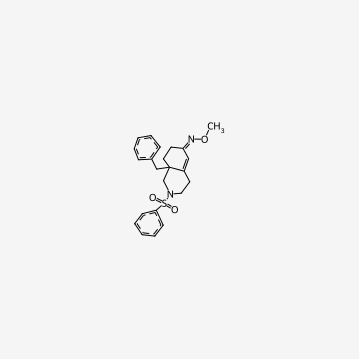 CON=C1C=C2CCN(S(=O)(=O)c3ccccc3)CC2(Cc2ccccc2)CC1